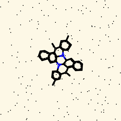 CB1C2=c3ccccc3=CC3C2N(c2ccc(C)cc21)c1cc2ccccc2c2c1N3c1ccc(C)cc1B2C